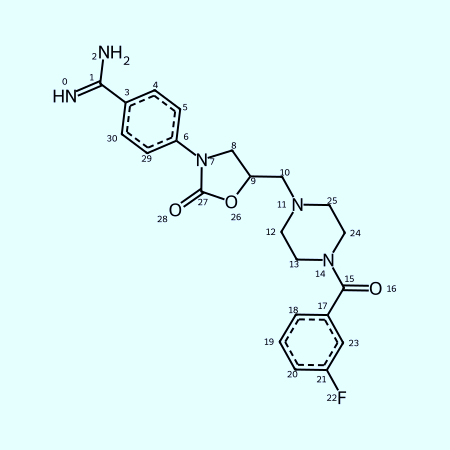 N=C(N)c1ccc(N2CC(CN3CCN(C(=O)c4cccc(F)c4)CC3)OC2=O)cc1